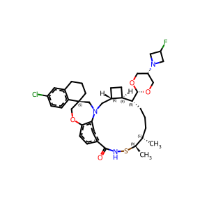 C[C@H]1CCC[C@@H]([C@H]2OC[C@@H](N3CC(F)C3)CO2)[C@@H]2CC[C@H]2CN2C[C@@]3(CCCc4cc(Cl)ccc43)COc3ccc(cc32)C(=O)NS[C@@H]1C